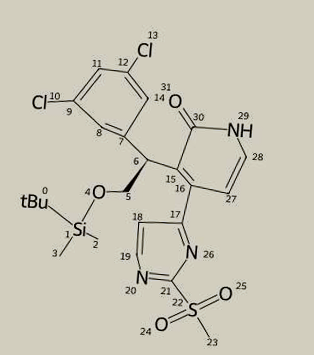 CC(C)(C)[Si](C)(C)OC[C@@H](c1cc(Cl)cc(Cl)c1)c1c(-c2ccnc(S(C)(=O)=O)n2)cc[nH]c1=O